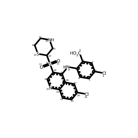 O=C(O)c1cc(Cl)ccc1Nc1c(S(=O)(=O)C2CNCCS2)cnc2ccc(Cl)cc12